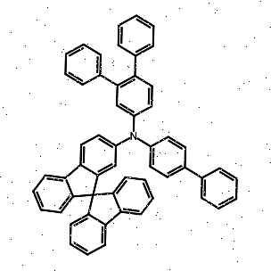 c1ccc(-c2ccc(N(c3ccc(-c4ccccc4)c(-c4ccccc4)c3)c3ccc4c(c3)C3(c5ccccc5-c5ccccc53)c3ccccc3-4)cc2)cc1